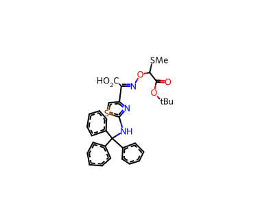 CSC(ON=C(C(=O)O)c1csc(NC(c2ccccc2)(c2ccccc2)c2ccccc2)n1)C(=O)OC(C)(C)C